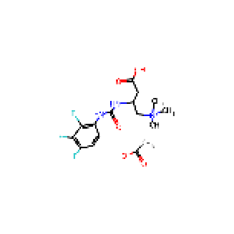 CC(=O)[O-].C[N+](C)(C)CC(CC(=O)O)NC(=O)Nc1ccc(F)c(F)c1F